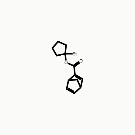 CCC1(OC(=O)C2=CC3C=CC2C3)CCCC1